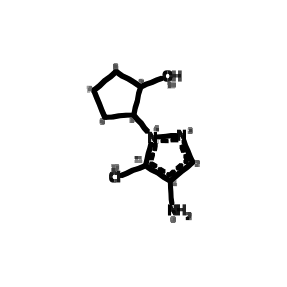 Nc1cnn(C2CCCC2O)c1Cl